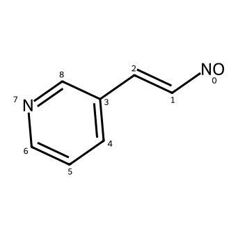 O=N/C=C/c1cccnc1